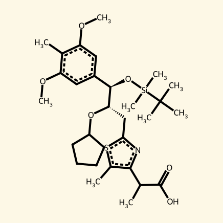 COc1cc([C@@H](O[Si](C)(C)C(C)(C)C)[C@H](Cc2nc(C(C)C(=O)O)c(C)s2)OC2CCCC2)cc(OC)c1C